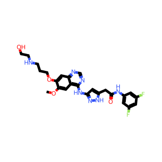 COc1cc2c(Nc3cc(CC(=O)Nc4cc(F)cc(F)c4)[nH]n3)ncnc2cc1OCCCNCCO